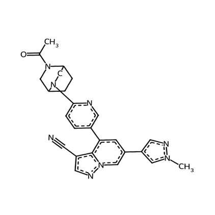 CC(=O)N1CC2CCC1CN2c1ccc(-c2cc(-c3cnn(C)c3)cn3ncc(C#N)c23)cn1